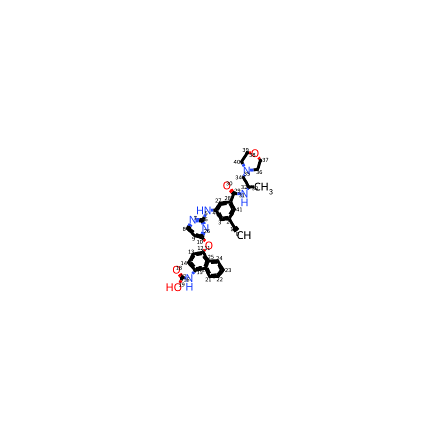 C#Cc1cc(Nc2nccc(Oc3ccc(NC(=O)O)c4ccccc34)n2)cc(C(=O)NC(C)CN2CCOCC2)c1